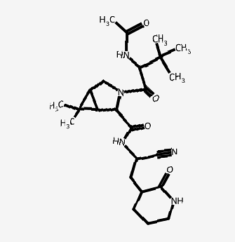 CC(=O)NC(C(=O)N1CC2C(C1C(=O)NC(C#N)CC1CCCNC1=O)C2(C)C)C(C)(C)C